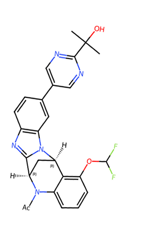 CC(=O)N1c2cccc(OC(F)F)c2[C@H]2C[C@@H]1c1nc3ccc(-c4cnc(C(C)(C)O)nc4)cc3n12